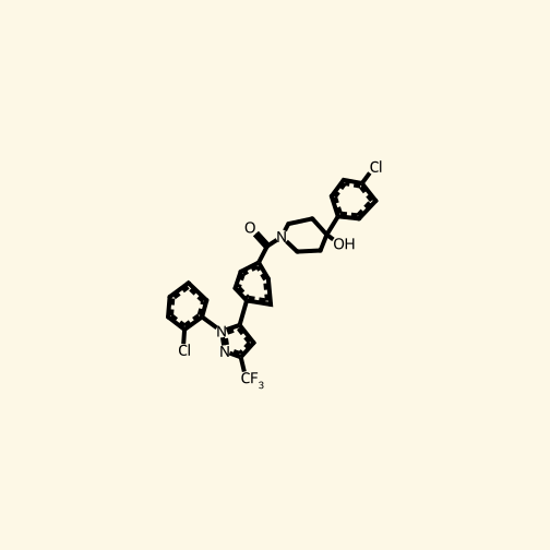 O=C(c1ccc(-c2cc(C(F)(F)F)nn2-c2ccccc2Cl)cc1)N1CCC(O)(c2ccc(Cl)cc2)CC1